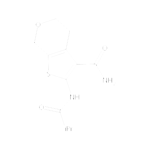 CC(C)C(=O)Nc1sc2c(c1C(N)=O)CCOC2